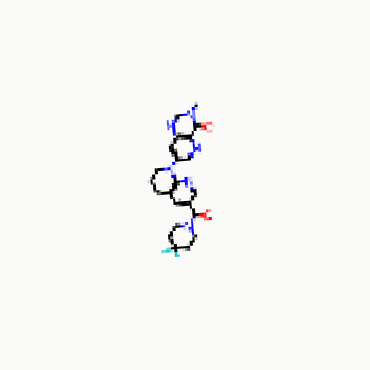 Cn1cnc2cc(N3CCCc4cc(C(=O)N5CCC(F)(F)CC5)cnc43)cnc2c1=O